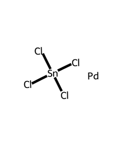 [Cl][Sn]([Cl])([Cl])[Cl].[Pd]